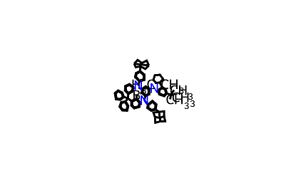 CC(C)(C)c1ccc2c(c1)C1(C)CCCCC1(C)N2c1cc2c3c(c1)N(c1ccc(C45CC6CC7CC(C4)C765)cc1)c1cccc4c1B3c1c(cccc1C4(c1ccccc1)c1ccccc1)N2c1ccc(C23CC4CC2CC4C3)cc1